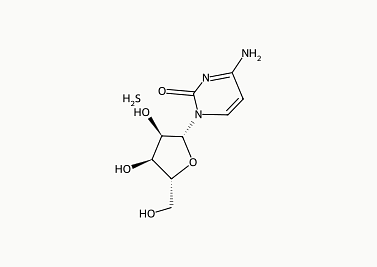 Nc1ccn([C@@H]2O[C@H](CO)[C@@H](O)[C@H]2O)c(=O)n1.S